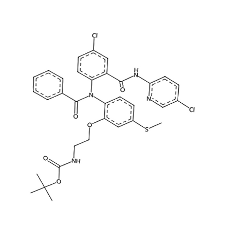 CSc1ccc(N(C(=O)c2ccccc2)c2ccc(Cl)cc2C(=O)Nc2ccc(Cl)cn2)c(OCCNC(=O)OC(C)(C)C)c1